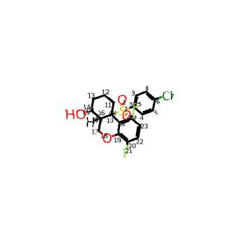 O=S(=O)(c1ccc(Cl)cc1)[C@]12CCC[C@H](O)[C@H]1COc1c(F)ccc(F)c12